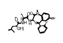 CC(C)CC(O)C(=O)N[C@@H](C)C(=O)NC1N=C(c2ccccc2F)c2cc(Br)ccc2N(C)C1=O